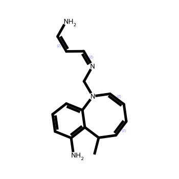 CC1/C=C\C=C/N(C/N=C\C=C/N)c2cccc(N)c21